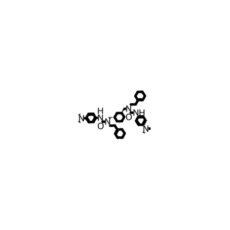 CN(C)c1ccc(NC(=O)N(CCC2=CCCCC2)C[C@H]2CCC[C@H](CN(CCC3=CCCCC3)C(=O)Nc3ccc(N(C)C)cc3)C2)cc1